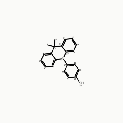 CC1(C)c2ccccc2N(c2ccc(S)cc2)c2ccccc21